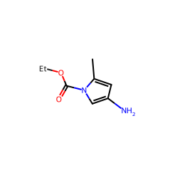 CCOC(=O)n1cc(N)cc1C